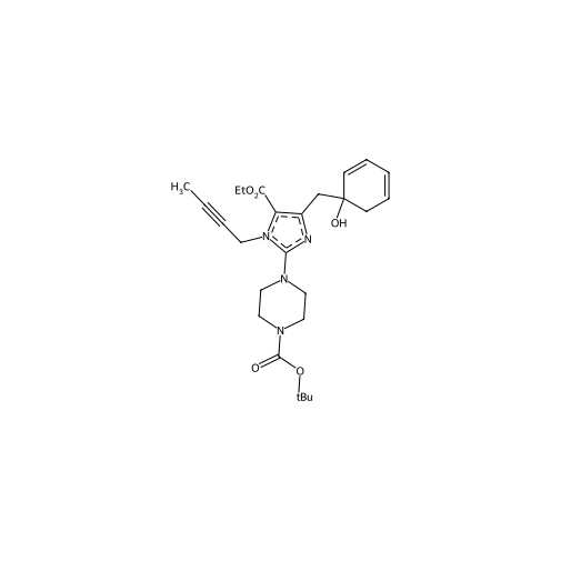 CC#CCn1c(N2CCN(C(=O)OC(C)(C)C)CC2)nc(CC2(O)C=CC=CC2)c1C(=O)OCC